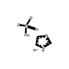 O=P([O-])([O-])O.[Ni+2].c1c[nH]cn1